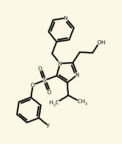 CC(C)c1nc(CCO)n(Cc2ccncc2)c1S(=O)(=O)Oc1cccc(F)c1